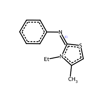 CCn1c(C)cs/c1=N/c1ccccc1